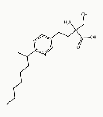 CCCCCCC(C)c1ccc(CCC(N)(CO)C(=O)O)cn1